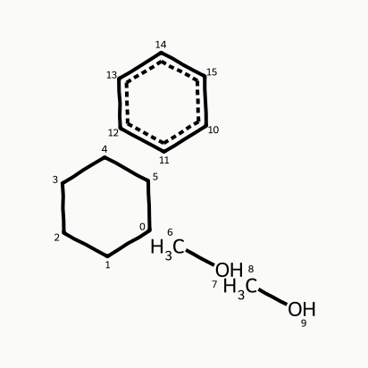 C1CCCCC1.CO.CO.c1ccccc1